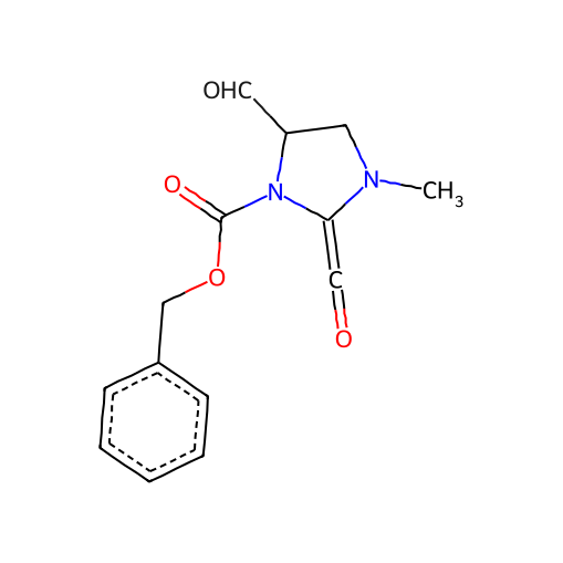 CN1CC(C=O)N(C(=O)OCc2ccccc2)C1=C=O